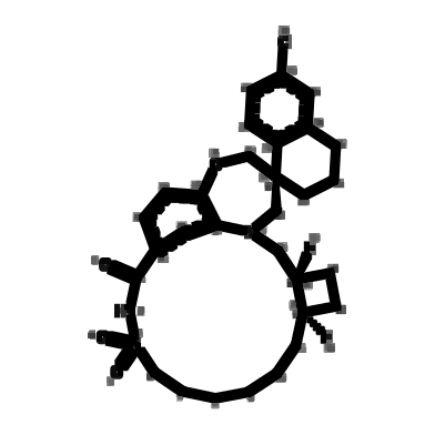 O=C1NS(=O)(=O)CCCCCC[C@@H]2CC[C@H]2CN2C[C@@]3(CCCc4cc(Cl)ccc43)COc3ccc1cc32